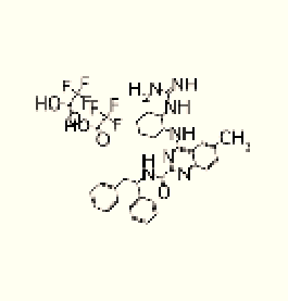 Cc1ccc2nc(C(=O)NC(Cc3ccccc3)c3ccccc3)nc(NC3CCCCC3NC(=N)N)c2c1.O=C(O)C(F)(F)F.O=C(O)C(F)(F)F